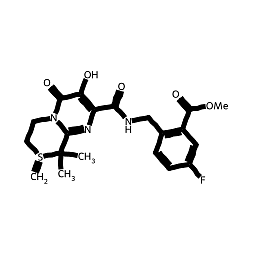 C=S1CCn2c(nc(C(=O)NCc3ccc(F)cc3C(=O)OC)c(O)c2=O)C1(C)C